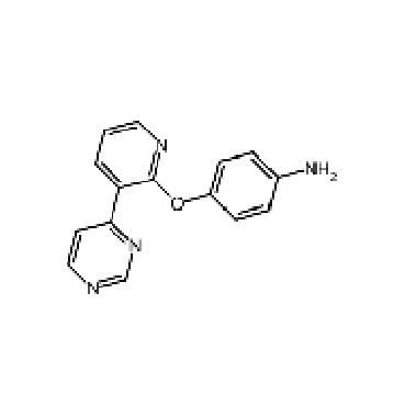 Nc1ccc(Oc2ncccc2-c2ccncn2)cc1